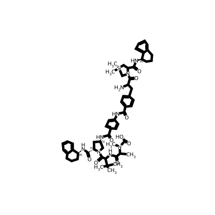 CC(C(=O)NC(C(=O)N1C[C@@H](NC(=O)c2ccc(NC(=O)c3ccc(CC(N)C(=O)N4C[Si](C)(C)CC4C(=O)N[C@@H]4CCCc5ccccc54)cc3)cc2)C[C@H]1C(=O)N[C@@H]1CCCc2ccccc21)C(C)(C)C)N(C)C(=O)O